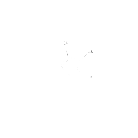 CCC1=CC[C]([In])=C1CC